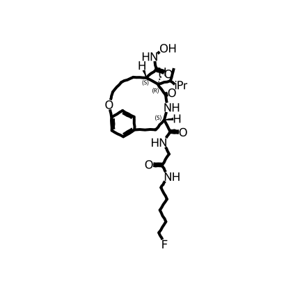 CC(C)C(C)[C@H]1C(=O)N[C@H](C(=O)NCC(=O)NCCCCCF)Cc2ccc(cc2)OCCC[C@@H]1C(=O)NO